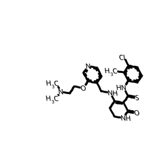 Cc1c(Cl)cccc1NC(=S)C1=C(NCc2ccncc2OCCN(C)C)CCNC1=O